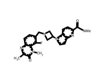 CNC(=O)c1ccc2c(ccn2C2CN(Cc3ccc4nc(C)c(=O)n(C)c4c3F)C2)n1